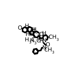 CC1=C2C[C@H]3[C@@H](CC[C@@H]4CC(=O)CC[C@@]43C)[C@@H]2CC[C@@]2(C1)O[C@@H]1C[C@H](C)CN(CC(=O)N(C)CCc3ccccc3)[C@H]1[C@H]2C